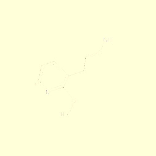 COc1ncccc1CCON